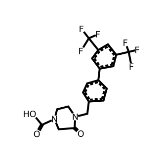 O=C(O)N1CCN(Cc2ccc(-c3cc(C(F)(F)F)cc(C(F)(F)F)c3)cc2)C(=O)C1